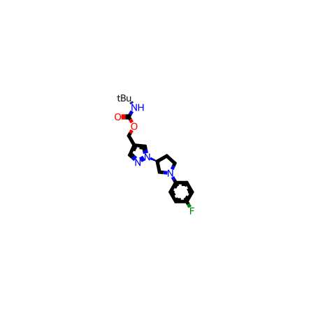 CC(C)(C)NC(=O)OCc1cnn([C@H]2CCN(c3ccc(F)cc3)C2)c1